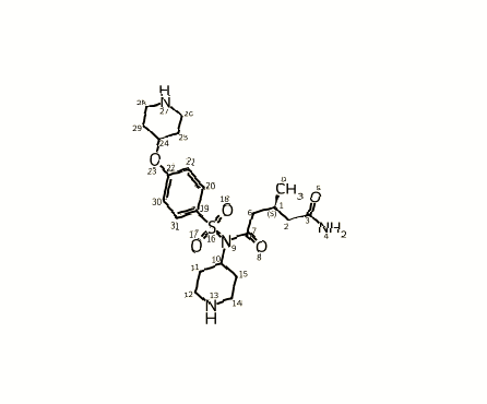 C[C@@H](CC(N)=O)CC(=O)N(C1CCNCC1)S(=O)(=O)c1ccc(OC2CCNCC2)cc1